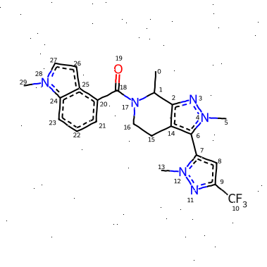 CC1c2nn(C)c(-c3cc(C(F)(F)F)nn3C)c2CCN1C(=O)c1cccc2c1ccn2C